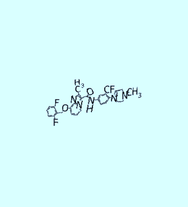 Cc1nc2c(OCc3c(F)cccc3F)cccn2c1C(=O)Nc1ccc(N2CCN(C)CC2)c(C(F)(F)F)c1